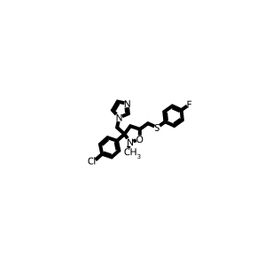 CN1OC(CSc2ccc(F)cc2)CC1(Cn1ccnc1)c1ccc(Cl)cc1